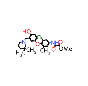 COC(=O)C(=O)Nc1cc(C)c(Oc2ccc(O)c(CN3CCCC(C)(C)C3)c2)c(Cl)c1